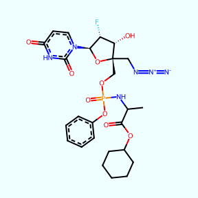 CC(NP(=O)(OC[C@@]1(CN=[N+]=[N-])O[C@@H](n2ccc(=O)[nH]c2=O)[C@H](F)[C@@H]1O)Oc1ccccc1)C(=O)OC1CCCCC1